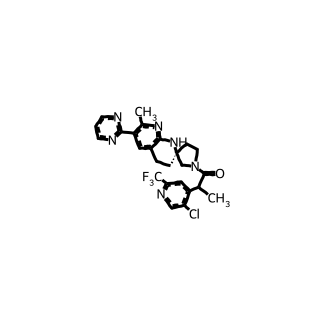 Cc1nc2c(cc1-c1ncccn1)CC[C@@]1(CCN(C(=O)C(C)c3cc(C(F)(F)F)ncc3Cl)C1)N2